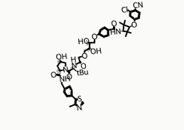 Cc1ncsc1-c1ccc(CNC(=O)[C@@H]2C[C@@H](O)CN2C(=O)[C@@H](NC(=O)COC[C@@H](O)[C@H](O)COc2ccc(C(=O)N[C@H]3C(C)(C)[C@H](Oc4ccc(C#N)c(Cl)c4)C3(C)C)cc2)C(C)(C)C)cc1